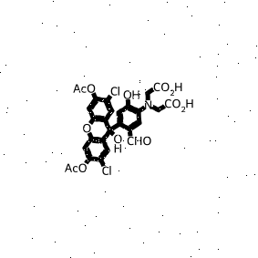 CC(=O)Oc1cc2c(cc1Cl)C(O)(c1cc(O)c(N(CC(=O)O)CC(=O)O)cc1C=O)c1cc(Cl)c(OC(C)=O)cc1O2